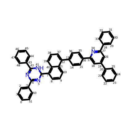 c1ccc(C2=NC(c3cccc4c(-c5ccc(-c6cc(-c7ccccc7)cc(-c7ccccc7)n6)cc5)cccc34)NC(c3ccccc3)=N2)cc1